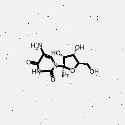 CC(C)[C@@]1(n2cc(N)c(=O)[nH]c2=O)O[C@H](CO)[C@@H](O)[C@H]1O